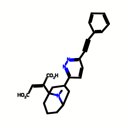 CN1C2CCCC1(/C(=C\C(=O)O)C(=O)O)CC(c1ccc(C#Cc3ccccc3)nn1)C2